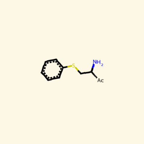 CC(=O)C(N)CSc1ccccc1